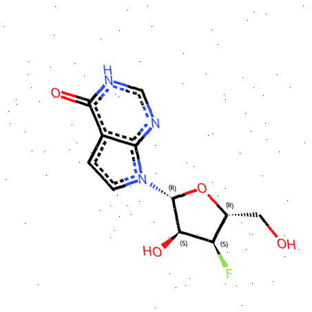 O=c1[nH]cnc2c1ccn2[C@@H]1O[C@H](CO)[C@@H](F)[C@H]1O